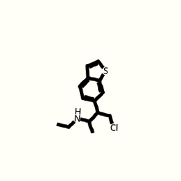 CCNC(C)C(CCl)c1ccc2ccsc2c1